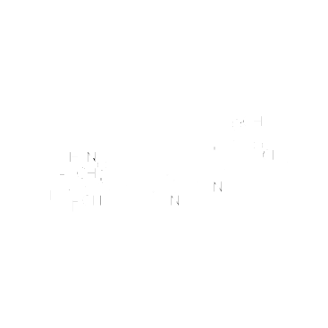 COc1cc2cc(-c3ccc(CC/C=C(\ON)C(C)(C)C(F)(F)F)cn3)cnc2cc1OC